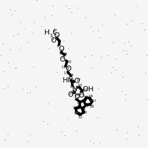 COC(=O)CCOCCOCCOCCNC(=O)CN(CC(=O)O)C(=O)OCC1c2ccccc2-c2ccccc21